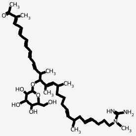 CC(=O)/C(C)=C/C=C/C=C/C=C/C=C/C(C)C(OC1OC(CO)C(O)C(O)C1O)/C(C)=C/C(C)CCC/C=C/C(C)C/C=C/CCCN(C)C(=N)N